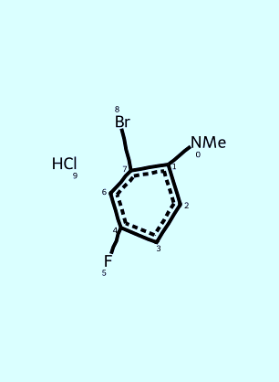 CNc1ccc(F)cc1Br.Cl